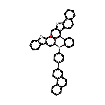 c1ccc(N(c2ccc(-c3ccc4c(ccc5ccccc54)c3)cc2)c2ccc3oc4ccccc4c3c2)c(-c2cccc3oc4c5ccccc5ccc4c23)c1